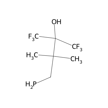 CC(C)(CP)C(O)(C(F)(F)F)C(F)(F)F